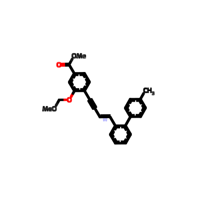 COCOc1cc(C(=O)OC)ccc1C#C/C=C/c1ccccc1-c1ccc(C)cc1